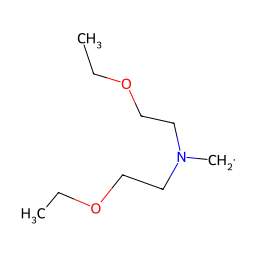 [CH2]N(CCOCC)CCOCC